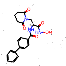 O=C(N[C@@H](CN1C(=O)CCCC1=O)C(=O)NO)c1ccc(-c2ccccc2)cc1